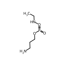 CCNO[PH](=O)OCCCN